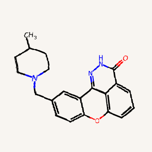 CC1CCN(Cc2ccc3c(c2)-c2n[nH]c(=O)c4cccc(c24)O3)CC1